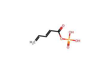 C=CC=CC(=O)OP(=O)(O)O